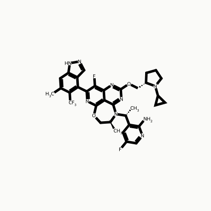 Cc1cc2[nH]ncc2c(-c2nc3c4c(nc(OC[C@@H]5CCCN5C5CC5)nc4c2F)N([C@H](C)c2cc(F)cnc2N)[C@@H](C)CO3)c1C(F)(F)F